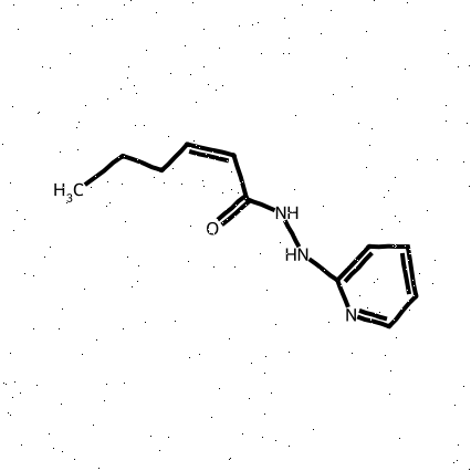 CCC/C=C\C(=O)NNc1ccccn1